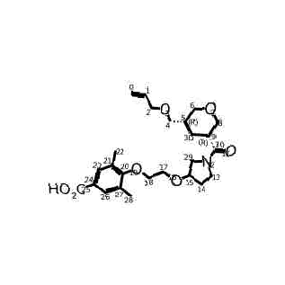 C=CCOC[C@@H]1COC[C@H](C(=O)N2CCC(OCCOc3c(C)cc(C(=O)O)cc3C)C2)C1